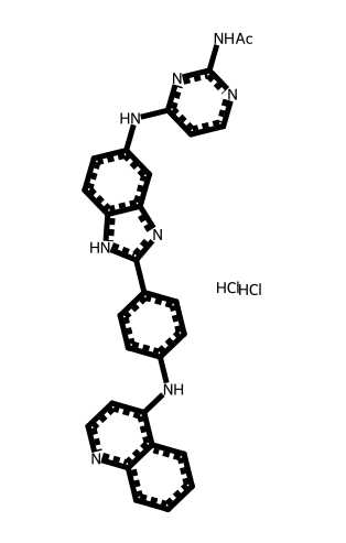 CC(=O)Nc1nccc(Nc2ccc3[nH]c(-c4ccc(Nc5ccnc6ccccc56)cc4)nc3c2)n1.Cl.Cl